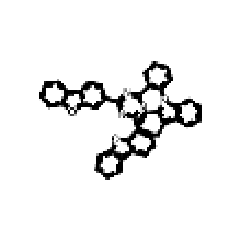 C1=Cc2c(c3ccccc3n2-c2ccccc2-c2nc(-c3ccc4c(c3)oc3ccccc34)nc(-c3cccc4c3oc3ccccc34)n2)CC1